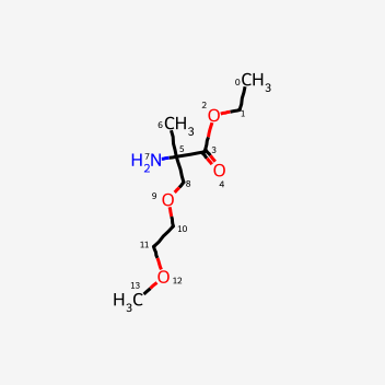 CCOC(=O)C(C)(N)COCCOC